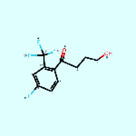 O=C(CCCO)c1ccc(F)cc1C(F)(F)F